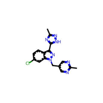 Cc1ncc(Cn2nc(-c3nc(C)n[nH]3)c3ccc(Cl)cc32)cn1